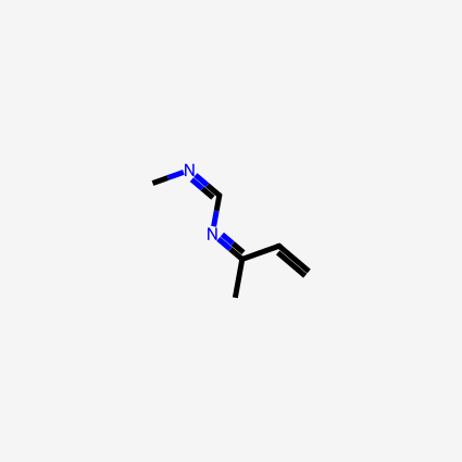 C=C/C(C)=N\C=N/C